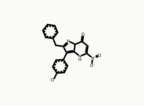 O=C1C=C([N+](=O)[O-])NC2=C(c3ccc(Cl)cc3)C(Cc3ccccc3)=NC12